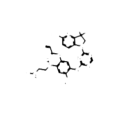 C=CC(=O)Nc1cc(Nc2ncnc(N3CC(C)(C)c4nc(C)ccc43)n2)c(OC(C)C)cc1N(C)CCN(C)C